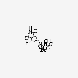 CN(C(=O)OC(C)(C)C)c1nccn1Cc1cc(Br)c2c(c1)C(=O)NCC21CCC1